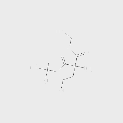 CCOC(=O)C(N)(CCO)C(=O)OC(C)(C)C